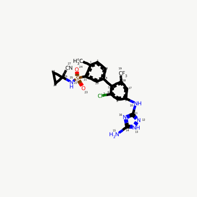 Cc1ccc(-c2c(Cl)cc(Nc3n[nH]c(N)n3)cc2C(F)(F)F)cc1S(=O)(=O)NC1(C#N)CC1